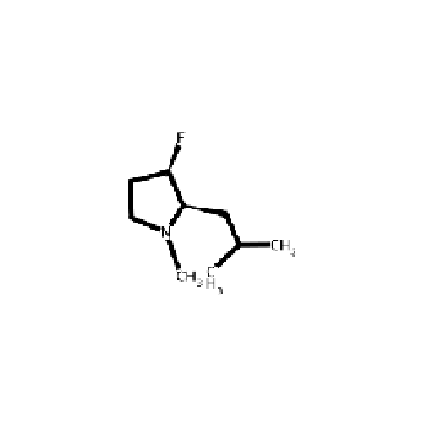 CC(C)C[C@@H]1[C@H](F)CCN1C